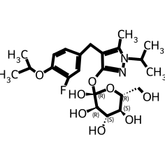 Cc1c(Cc2ccc(OC(C)C)c(F)c2)c(O[C@]2(O)O[C@H](CO)[C@@H](O)[C@H](O)[C@H]2O)nn1C(C)C